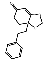 O=C1C=C2OCOC2(CCc2ccccc2)CC1